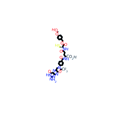 Nc1nc2ncc(CN(C(=O)C(F)(F)F)c3ccc(C(=O)N[C@H](CCC(=O)N[C@H](CS)C(=O)OCc4ccc(OCO)cc4)C(=O)O)cc3)nc2c(=O)[nH]1